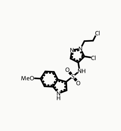 COc1ccc2c(S(=O)(=O)Nc3cnn(CCCl)c3Cl)c[nH]c2c1